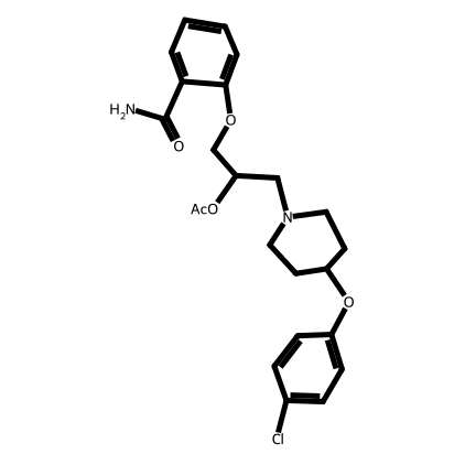 CC(=O)OC(COc1ccccc1C(N)=O)CN1CCC(Oc2ccc(Cl)cc2)CC1